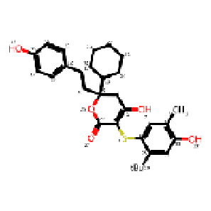 Cc1cc(SC2=C(O)CC(CCc3ccc(O)cc3)(C3CCCCC3)OC2=O)c(C(C)(C)C)cc1O